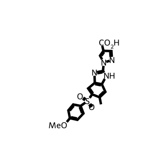 COc1ccc(S(=O)(=O)c2cc3nc(-n4cc(C(=O)O)cn4)[nH]c3cc2C)cc1